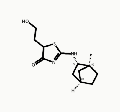 C[C@@]12CC[C@@H](C[C@@H]1NC1=NC(=O)C(CCO)S1)C2